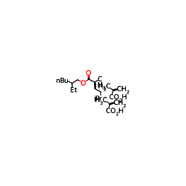 C=C(C)C(=O)O.C=C(C)C(=O)O.CCCCC(CC)COC(=O)C(C)=CCC(C)C